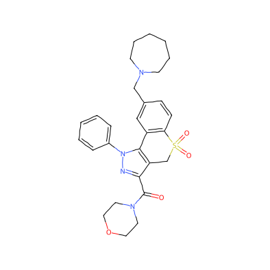 O=C(c1nn(-c2ccccc2)c2c1CS(=O)(=O)c1ccc(CN3CCCCCC3)cc1-2)N1CCOCC1